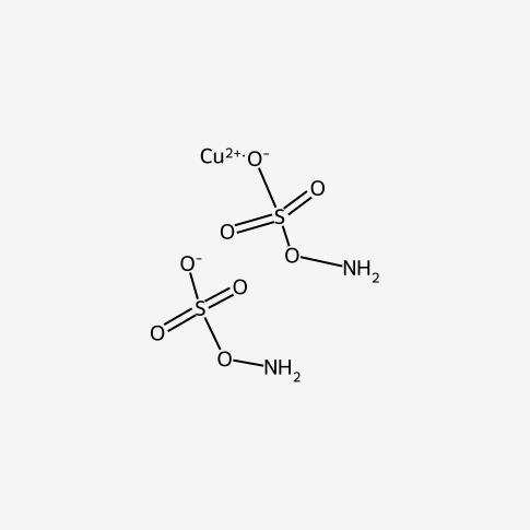 NOS(=O)(=O)[O-].NOS(=O)(=O)[O-].[Cu+2]